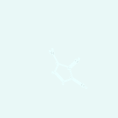 [2H]C1C=CC(=O)C1=O